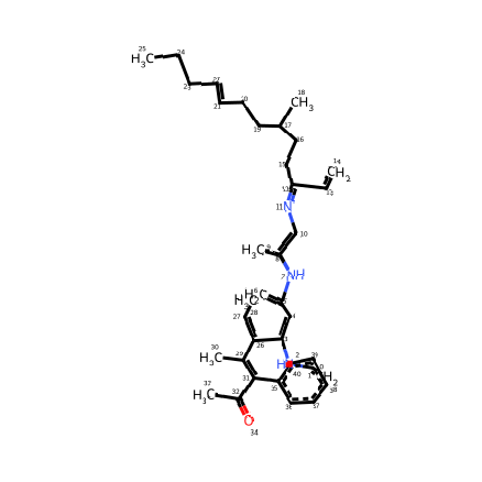 C=CNC(=C/C(=C)N/C(C)=C/N=C(\C=C)CCC(C)CCC=CCCC)/C(=C\C)C(/C)=C(/C(C)=O)c1ccccc1